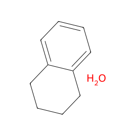 O.c1ccc2c(c1)CCCC2